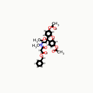 CCOC1(CCN(C)C(=O)CC(=O)OCc2ccccc2)c2ccc(OC(C)=O)cc2Oc2cc(OC(C)=O)ccc21